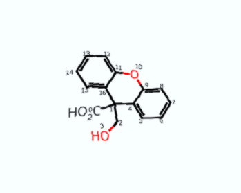 O=C(O)C1(CO)c2ccccc2Oc2ccccc21